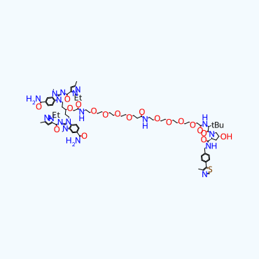 CCn1nc(C)cc1C(=O)N=c1n(C)c2cc(C(N)=O)ccc2n1CCC(CCn1c(=NC(=O)c2cc(C)nn2CC)n(C)c2cc(C(N)=O)ccc21)OCC(=O)NCCOCCOCCOCCOCCC(=O)NCCOCCOCCOCCOCC(=O)N[C@H](C(=O)N1C[C@H](O)C[C@H]1C(=O)NCc1ccc(-c2scnc2C)cc1)C(C)(C)C